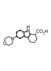 O=C(O)C1CCCc2c1[nH]c1ccc(N3CCOCC3)cc21